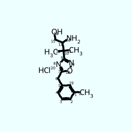 Cc1cccc(Cc2nc(C(C)(C)C(N)CO)no2)c1.Cl